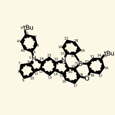 CC(C)(C)c1ccc(-n2c3ccccc3c3cc4c5ccc6c7c5n(c4cc32)-c2ccccc2B7c2cc(C(C)(C)C)ccc2O6)cc1